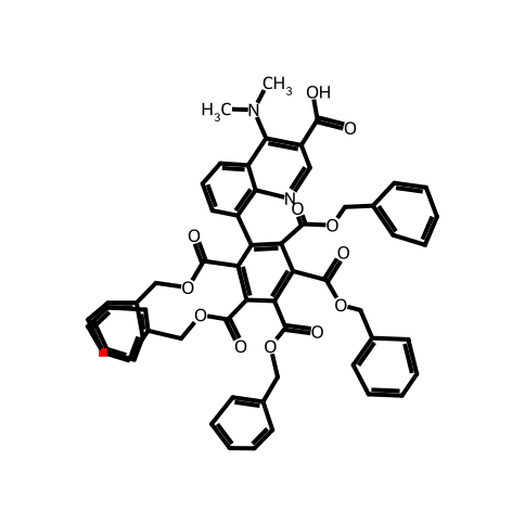 CN(C)c1c(C(=O)O)cnc2c(-c3c(C(=O)OCc4ccccc4)c(C(=O)OCc4ccccc4)c(C(=O)OCc4ccccc4)c(C(=O)OCc4ccccc4)c3C(=O)OCc3ccccc3)cccc12